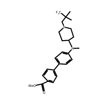 COC(=O)c1ccc(-c2ccc(N(C)C3CCN(CC(C)(C)C(F)(F)F)CC3)cc2)cc1